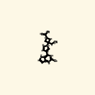 CCC(=O)N1CC(CC#N)(n2cc(-c3nc(Cl)nc4ccsc34)cn2)C1